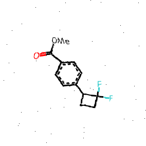 COC(=O)c1ccc(C2CCC2(F)F)cc1